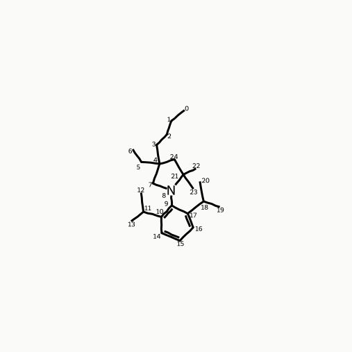 CCCCC1(CC)CN(c2c(C(C)C)cccc2C(C)C)C(C)(C)C1